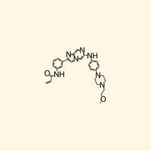 C=CC(=O)Nc1cccc(-c2cn3cc(Nc4ccc(N5CCN(CCOC)CC5)cc4)ncc3n2)c1